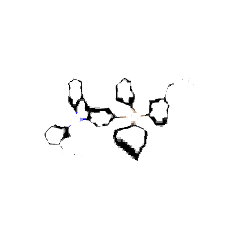 CCc1cccc(S(C2=CC=CCC2)(c2ccccc2)c2ccc3c(c2)c2ccccc2n3C2=CCCC(C)C2)c1